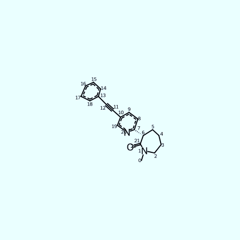 CN1CCCC[C@@H](c2ccc(C#Cc3ccccc3)cn2)C1=O